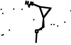 COC[C@@H]1CC1N